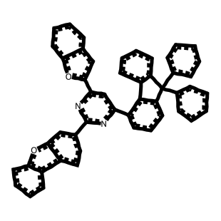 c1ccc(C2(c3ccccc3)c3ccccc3-c3c(-c4cc(-c5cc6ccccc6o5)nc(-c5ccc6c(c5)oc5ccccc56)n4)cccc32)cc1